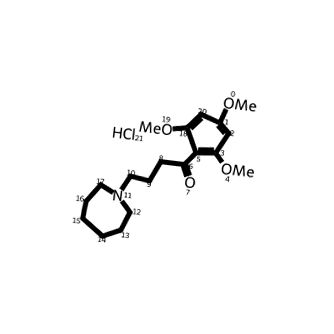 COc1cc(OC)c(C(=O)CCCN2CCCCCC2)c(OC)c1.Cl